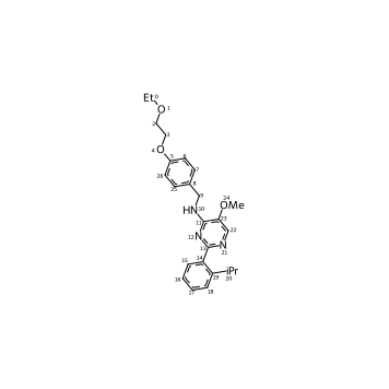 CCOCCOc1ccc(CNc2nc(-c3ccccc3C(C)C)ncc2OC)cc1